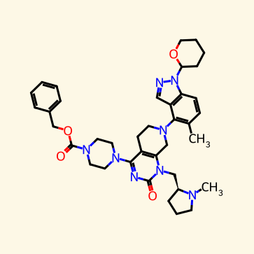 Cc1ccc2c(cnn2C2CCCCO2)c1N1CCc2c(N3CCN(C(=O)OCc4ccccc4)CC3)nc(=O)n(C[C@@H]3CCCN3C)c2C1